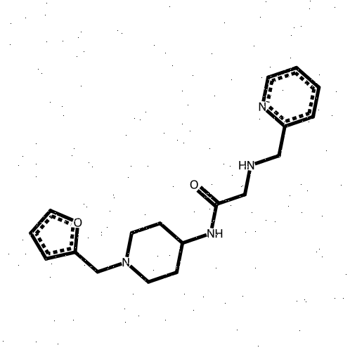 O=C(CNCc1ccccn1)NC1CCN(Cc2ccco2)CC1